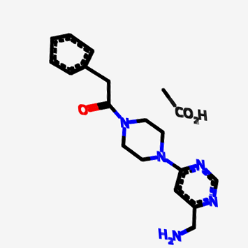 CC(=O)O.NCc1cc(N2CCN(C(=O)Cc3ccccc3)CC2)ncn1